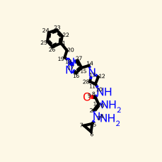 N/C(=C\N(N)C1CC1)C(=O)NC1CN(Cc2cnn(CCc3ccccc3)c2)C1